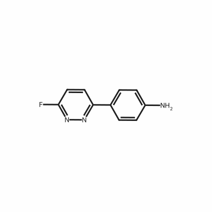 Nc1ccc(-c2ccc(F)nn2)cc1